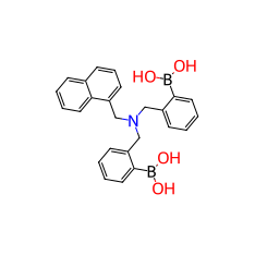 OB(O)c1ccccc1CN(Cc1ccccc1B(O)O)Cc1cccc2ccccc12